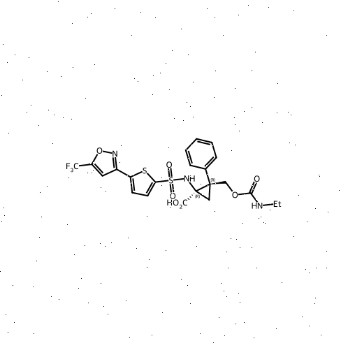 CCNC(=O)OC[C@@]1(c2ccccc2)C[C@]1(NS(=O)(=O)c1ccc(-c2cc(C(F)(F)F)on2)s1)C(=O)O